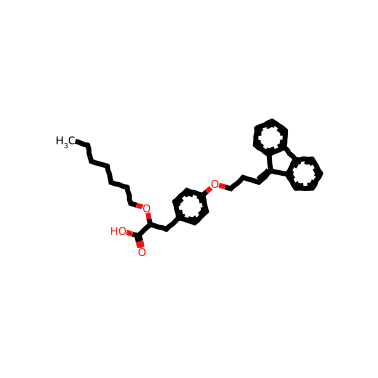 CCCCCCCOC(Cc1ccc(OCCC=C2c3ccccc3-c3ccccc32)cc1)C(=O)O